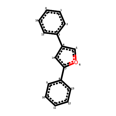 [c]1ccc(-c2coc(-c3ccccc3)c2)cc1